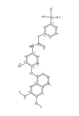 COc1cc2nccc(Oc3ncc(NC(=O)Cc4cccc(C(F)(F)F)c4)cc3Cl)c2cc1OC